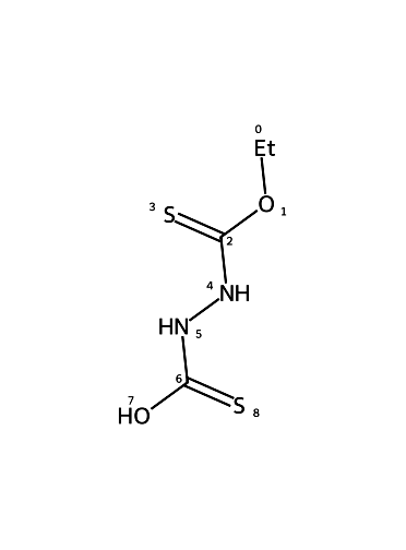 CCOC(=S)NNC(O)=S